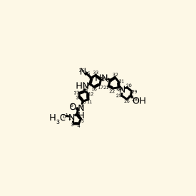 CCn1cccc1C(=O)Nc1ccc(Nc2ccc(Nc3ccc(N4CCC(O)CC4)cc3)cc2C#N)cc1